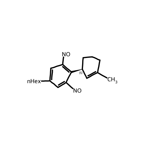 CCCCCCc1cc(N=O)c([C@@H]2C=C(C)CCC2)c(N=O)c1